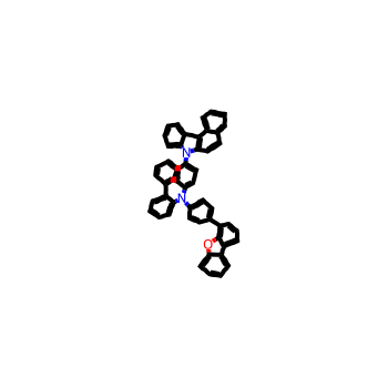 c1ccc(-c2ccccc2N(c2ccc(-c3cccc4c3oc3ccccc34)cc2)c2ccc(-n3c4ccccc4c4c5ccccc5ccc43)cc2)cc1